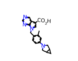 Cc1cc(N2CC3CC3C2)ccc1Cn1cc(C(=O)O)c2cncnc21